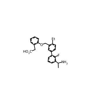 CCc1ccc(-c2cccc(C(C)N)c2F)cc1COc1ccccc1CC(=O)O